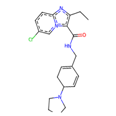 CCc1nc2ccc(Cl)cn2c1C(=O)NCC1=CCC(N2CCCC2)C=C1